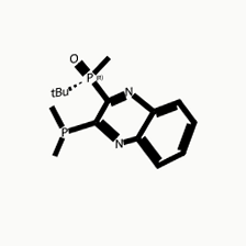 CP(C)c1nc2ccccc2nc1[P@](C)(=O)C(C)(C)C